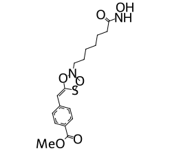 COC(=O)c1ccc(C=C2ON(CCCCCCC(=O)NO)OS2)cc1